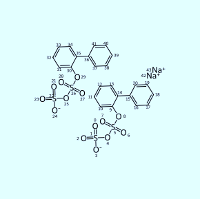 O=S(=O)([O-])OS(=O)(=O)Oc1ccccc1-c1ccccc1.O=S(=O)([O-])OS(=O)(=O)Oc1ccccc1-c1ccccc1.[Na+].[Na+]